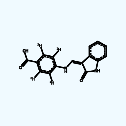 [2H]c1c([2H])c(C(=O)O)c([2H])c([2H])c1NC=C1C(=O)Nc2ccccc21